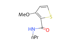 CCCNC(=O)c1sccc1OC